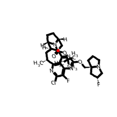 C[C@@H]1C[C@H]2[C@@H]3CC[C@H](CN2c2nc(OC[C@@]45CCCN4C[C@H](F)C5)nc4c(F)c(Cl)nc1c24)N3C(=O)OC(C)(C)C